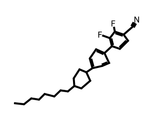 CCCCCCCCC1CCC(c2ccc(-c3ccc(C#N)c(F)c3F)cc2)CC1